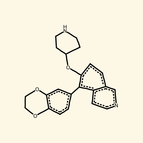 c1cc2c(-c3ccc4c(c3)OCCO4)c(OC3CCNCC3)ccc2cn1